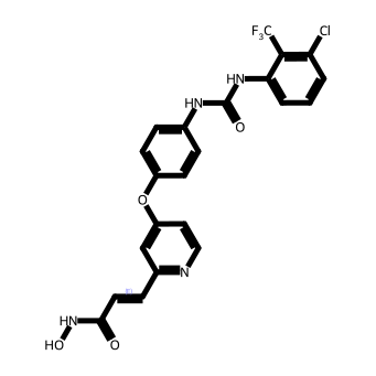 O=C(/C=C/c1cc(Oc2ccc(NC(=O)Nc3cccc(Cl)c3C(F)(F)F)cc2)ccn1)NO